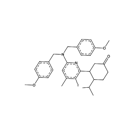 COc1ccc(CN(Cc2ccc(OC)cc2)c2cc(C)c(I)c(C3CC(=O)CCC3C(C)C)n2)cc1